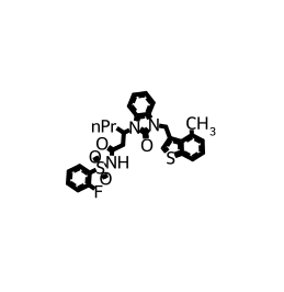 CCCC(CC(=O)NS(=O)(=O)c1ccccc1F)n1c(=O)n(Cc2csc3cccc(C)c23)c2ccccc21